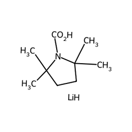 CC1(C)CCC(C)(C)N1C(=O)O.[LiH]